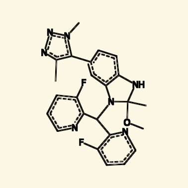 COC1(C)Nc2ccc(-c3c(C)nnn3C)cc2N1C(c1ncccc1F)c1ncccc1F